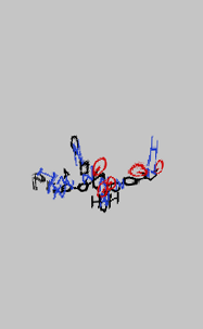 CC(C)n1cnc2cc(-c3ccc4c(c3)N([C@H]3C[C@@H](N5CCCCC5)C3)C(=O)C43CCN(C(=O)[C@@H]4C[C@H]5CC[C@@H](C4)N5C(=O)C4CCN(c5ccc(C6CCC(=O)NC6=O)cc5)CC4)CC3)nc(NC3CC3)c21